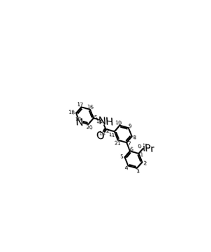 CC(C)c1ccccc1-c1cccc(C(=O)Nc2cccnc2)c1